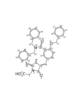 O=C(O)CN1C(=O)C(=Cc2ccc(OCc3ccccc3)c(C(=O)N(Cc3ccccc3)Cc3ccccc3)c2)SC1=S